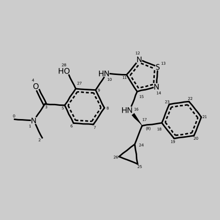 CN(C)C(=O)c1cccc(Nc2nsnc2N[C@@H](c2ccccc2)C2CC2)c1O